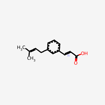 CC(C)=CCc1cccc(/C=C/C(=O)O)c1